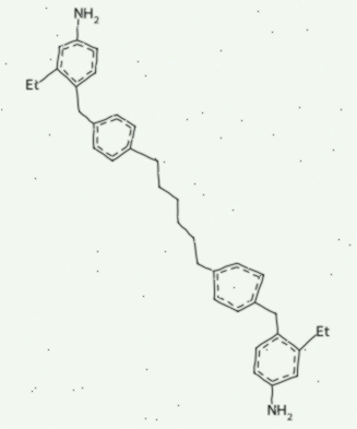 CCc1cc(N)ccc1Cc1ccc(CCCCCCc2ccc(Cc3ccc(N)cc3CC)cc2)cc1